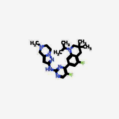 CC(C)N1CC(C)(C)Cc2c(F)cc(-c3nc(Nc4cc5n(n4)CCN(C)C5)ncc3F)cc21